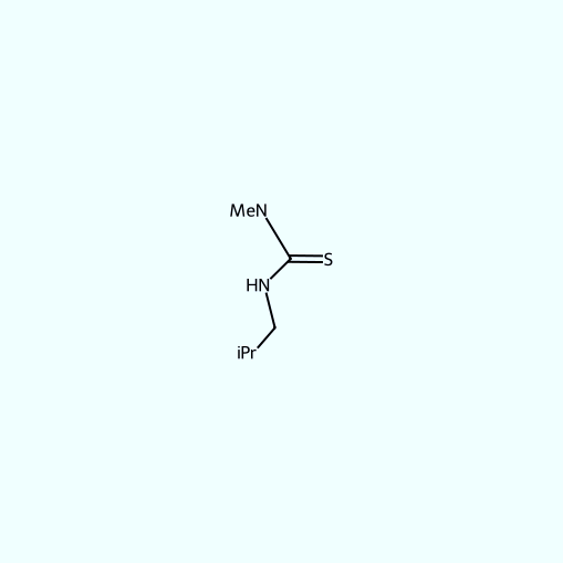 CNC(=S)NCC(C)C